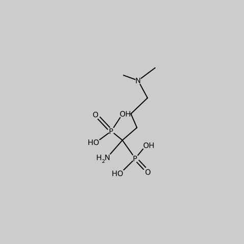 CN(C)CCCC(N)(P(=O)(O)O)P(=O)(O)O